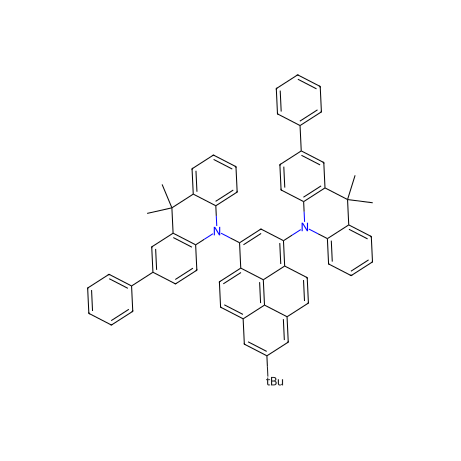 CC(C)(C)c1cc2ccc3c(N4c5ccccc5C(C)(C)c5cc(-c6ccccc6)ccc54)cc(N4c5ccccc5C(C)(C)c5cc(-c6ccccc6)ccc54)c4ccc(c1)c2c34